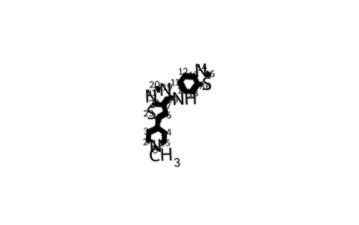 CN1CC=C(c2cc3c(Nc4ccc5ncsc5c4)ncnc3s2)CC1